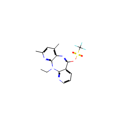 CCN1c2ncccc2C(OS(=O)(=O)C(F)(F)F)=Nc2c(C)cc(C)nc21